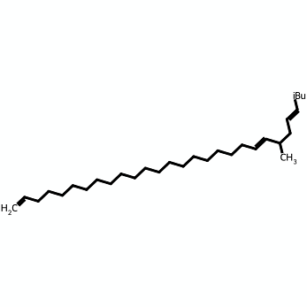 C=CCCCCCCCCCCCCCCCCCCC=CC(C)CC=CC(C)CC